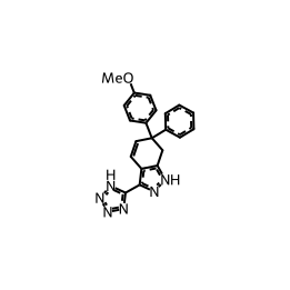 COc1ccc(C2(c3ccccc3)C=Cc3c(-c4nnn[nH]4)n[nH]c3C2)cc1